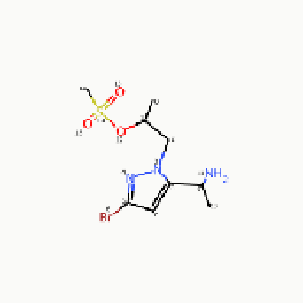 CC(Cn1nc(Br)cc1C(C)N)OS(C)(=O)=O